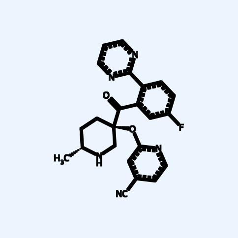 C[C@@H]1CC[C@](Oc2cc(C#N)ccn2)(C(=O)c2cc(F)ccc2-c2ncccn2)CN1